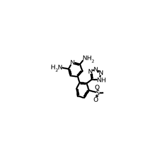 CS(=O)(=O)c1cccc(-c2cc(N)nc(N)c2)c1-c1nnn[nH]1